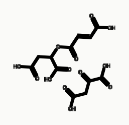 O=C(O)/C=C/C(=O)OC(CC(=O)O)C(=O)O.O=C(O)CC(=O)C(=O)O